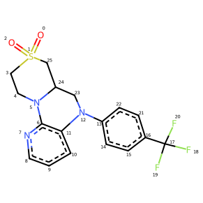 O=S1(=O)CCN2c3ncccc3N(c3ccc(C(F)(F)F)cc3)CC2C1